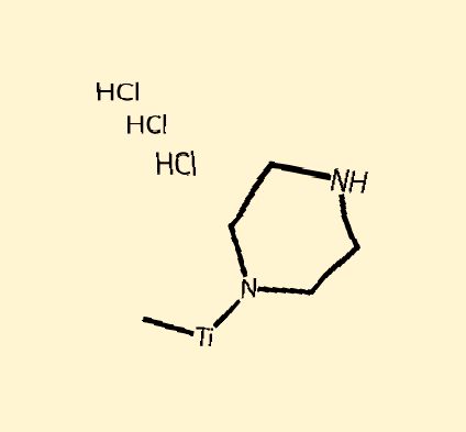 Cl.Cl.Cl.[CH3][Ti][N]1CCNCC1